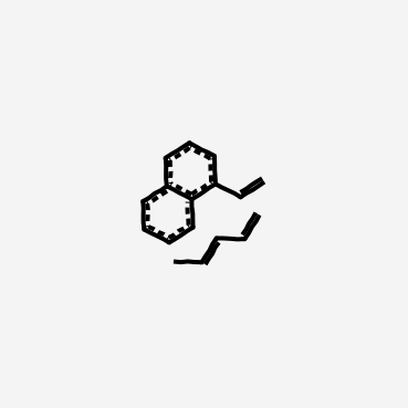 C=CC=CC.C=Cc1cccc2ccccc12